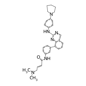 CN(C)C/C=C/C(=O)Nc1cccc(-c2cccc3cnc(Nc4ccc(N5CCCCC5)cc4)nc23)c1